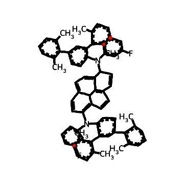 Cc1cccc(C)c1-c1ccc(N(C2=C3C=CC4=C5C(=CC=C(C=C2)C35)C(N(c2cccc(F)c2)c2ccc(-c3c(C)cccc3C)cc2-c2c(C)cccc2C)C=C4)c2cccc(F)c2)c(-c2c(C)cccc2C)c1